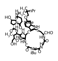 CCCC(C)(C)COC1=CC2NC3=C(C[C@H](NC(=O)C(NC(=O)[C@@H]4C[C@@H](O)CN4C(=O)[C@H](CC(N)=O)NC)[C@@H](C)[C@@H](O)CO)C(=O)NCC(=O)NC([C@@H](C)CC)C(=O)NCC(=O)N[C@H](C=O)CS3)C2C=C1